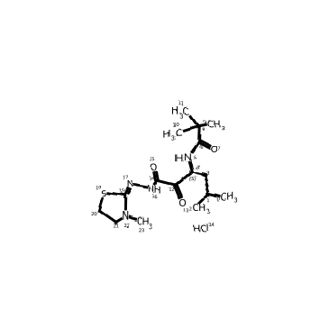 CC(C)C[C@H](NC(=O)C(C)(C)C)C(=O)C(=O)NN=C1SCCN1C.Cl